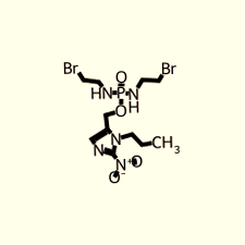 CCCn1c(COP(=O)(NCCBr)NCCBr)cnc1[N+](=O)[O-]